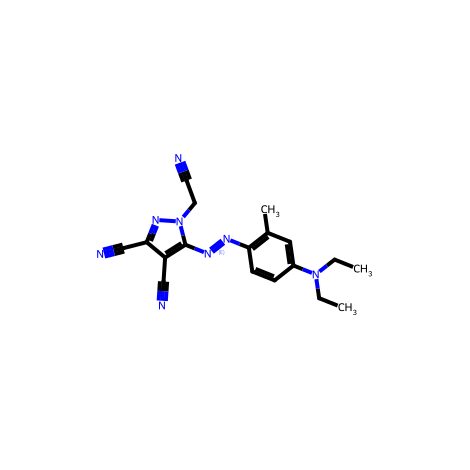 CCN(CC)c1ccc(/N=N/c2c(C#N)c(C#N)nn2CC#N)c(C)c1